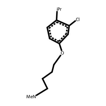 CNCCCCOc1ccc(C(C)C)c(Cl)c1